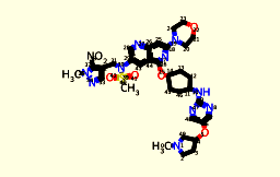 CN1CCC(Oc2cnc(NC3CCC(Oc4nc(N5CCOCC5)cc5ncc(N(Cc6cnn(C)c6[N+](=O)[O-])S(C)(=O)=O)cc45)CC3)nc2)C1